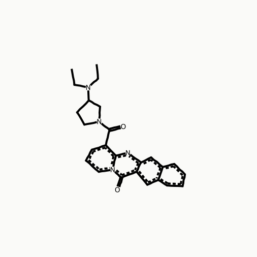 CCN(CC)C1CCN(C(=O)c2cccn3c(=O)c4cc5ccccc5cc4nc23)C1